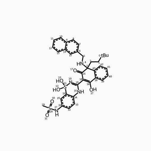 CC(C)(C)CCC1(NCc2ccc3ccccc3c2)C(=O)C(C2=NS(O)(O)c3cc(NS(C)(=O)=O)ccc3N2)=C(O)c2ccccc21